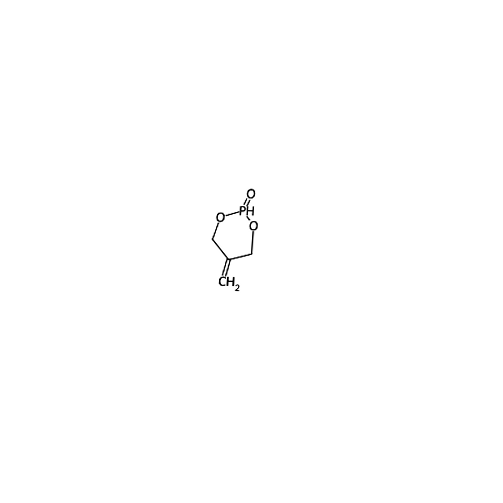 C=C1CO[PH](=O)OC1